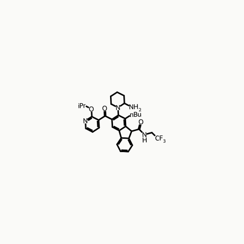 CCCCc1c2c(cc(C(=O)c3cccnc3OC(C)C)c1N1CCCCC1N)-c1ccccc1C2C(=O)NCC(F)(F)F